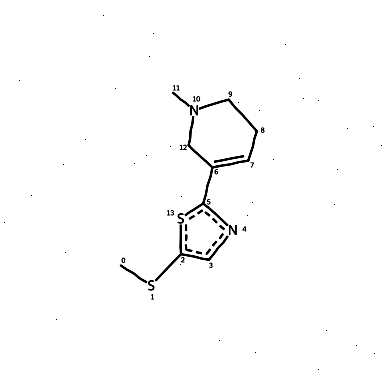 CSc1cnc(C2=CCCN(C)C2)s1